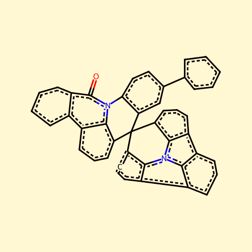 O=c1c2ccccc2c2cccc3c2n1-c1ccc(-c2ccccc2)cc1C31c2cccc3c4cccc5c6cccc1c6n(c23)c45